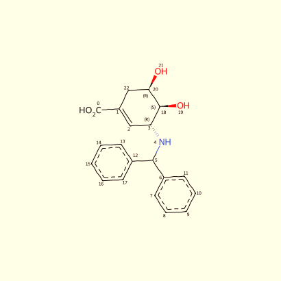 O=C(O)C1=C[C@@H](NC(c2ccccc2)c2ccccc2)[C@H](O)[C@H](O)C1